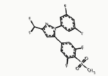 CS(=O)(=O)c1c(F)cc(-c2cc(C(F)F)nn2-c2cc(F)cc(F)c2)cc1F